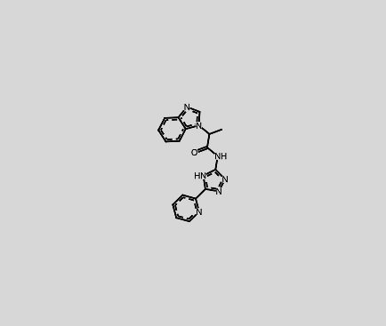 CC(C(=O)Nc1nnc(-c2ccccn2)[nH]1)n1cnc2ccccc21